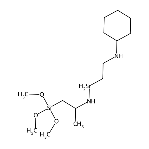 CO[Si](CC(C)N[SiH2]CCNC1CCCCC1)(OC)OC